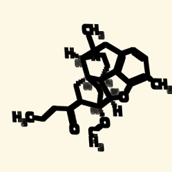 CCCC(=O)C1C[C@@]23CC[C@@]1(OC)[C@@H]1Oc4c(C)ccc5c4[C@@]12CCN(C)[C@@H]3C5